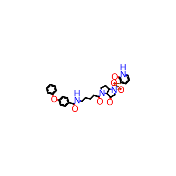 O=C(NCCCCC(=O)N1CCC2C1C(=O)CN2S(=O)(=O)c1ccc[nH]c1=O)c1ccc(Oc2ccccc2)cc1